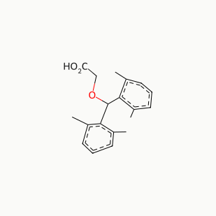 Cc1cccc(C)c1C(OCC(=O)O)c1c(C)cccc1C